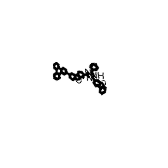 c1ccc(C2N=C(c3ccc4c(c3)oc3ccc(-c5ccc6c7ccccc7c7ccccc7c6c5)cc34)N=C(c3ccc4c(c3)oc3ccccc34)N2)cc1